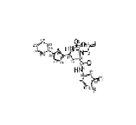 C=CCN1C(C(=O)Nc2ccc(F)c(Cl)c2)CC(c2ccc(-c3ccccn3)s2)NS1(=O)=O